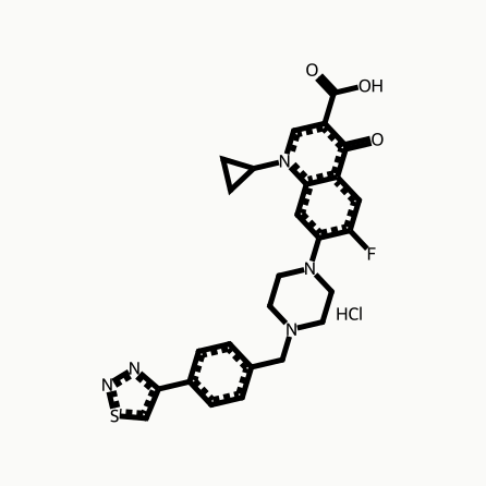 Cl.O=C(O)c1cn(C2CC2)c2cc(N3CCN(Cc4ccc(-c5csnn5)cc4)CC3)c(F)cc2c1=O